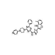 Cc1cccc(Cl)c1NC(=O)c1cnc(Nc2nc(-c3ccccc3)nc(N3CCN(c4ccncc4)CC3)n2)s1